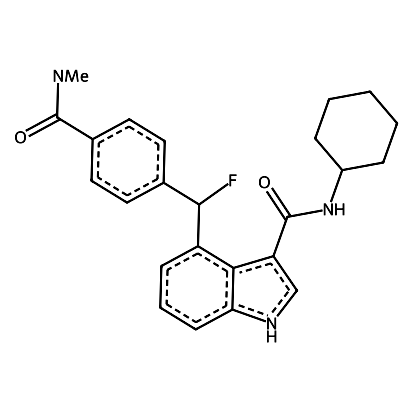 CNC(=O)c1ccc(C(F)c2cccc3[nH]cc(C(=O)NC4CCCCC4)c23)cc1